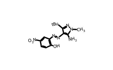 Cn1nc(C(C)(C)C)c(N=Nc2cc([N+](=O)[O-])ccc2O)c1N